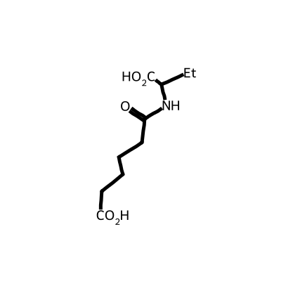 CCC(NC(=O)CCCCC(=O)O)C(=O)O